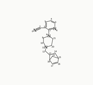 N#Cc1cccnc1N1CCN(CC2CC3C=CC2C3)CC1